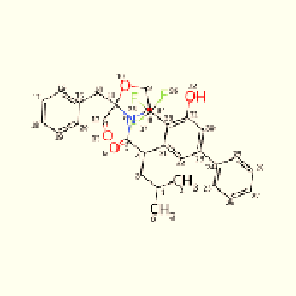 CC(C)CC(C(=O)N1CCOC1(C=O)Cc1ccccc1)c1cc(-c2ccccc2)cc(O)c1C(F)(F)F